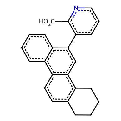 O=C(O)c1ncccc1-c1cc2c3c(ccc2c2ccccc12)CCCC3